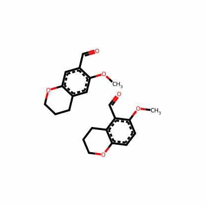 COc1cc2c(cc1C=O)OCCC2.COc1ccc2c(c1C=O)CCCO2